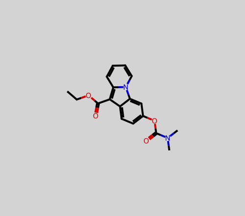 CCOC(=O)c1c2ccc(OC(=O)N(C)C)cc2n2ccccc12